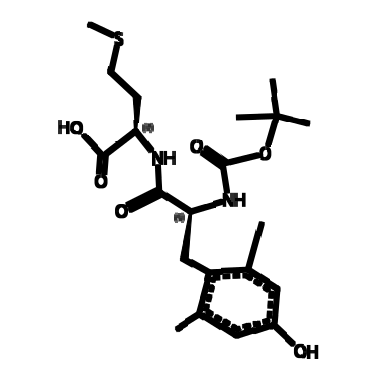 CSCC[C@@H](NC(=O)[C@H](Cc1c(C)cc(O)cc1C)NC(=O)OC(C)(C)C)C(=O)O